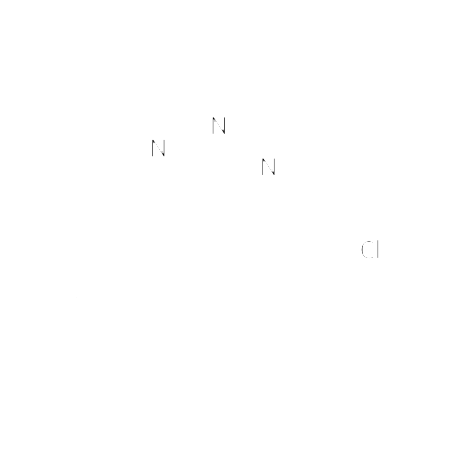 ClCc1nnnc2ccccc12